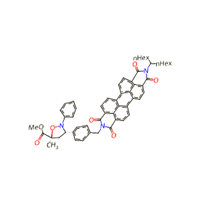 CCCCCCC(CCCCCC)N1C(=O)c2ccc3c4ccc5c6c(ccc(c7ccc(c2c37)C1=O)c64)C(=O)N(Cc1ccc([C@@H]2C[C@@](C)(C(=O)OC)ON2c2ccccc2)cc1)C5=O